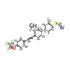 CCc1cc(-c2ccc(SC#N)c(F)c2)ccc1C#Cc1ccc(OC(F)(F)F)cc1